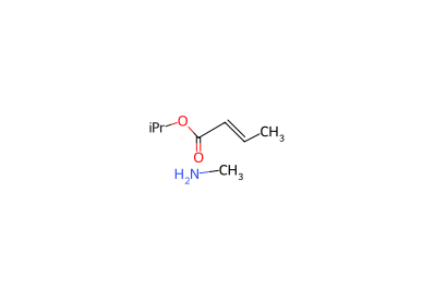 CC=CC(=O)OC(C)C.CN